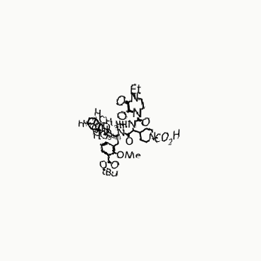 CCN1CCN(C(=O)NC(C(=O)N[C@@H](Cc2cccc(C(=O)OC(C)(C)C)c2OC)B2O[C@@H]3C[C@@H]4C[C@@H](C4(C)C)[C@]3(C)O2)C2CCN(C(=O)O)CC2)C(=O)C1=O